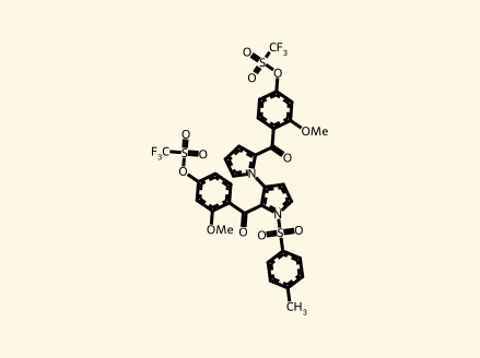 COc1cc(OS(=O)(=O)C(F)(F)F)ccc1C(=O)c1cccn1-c1ccn(S(=O)(=O)c2ccc(C)cc2)c1C(=O)c1ccc(OS(=O)(=O)C(F)(F)F)cc1OC